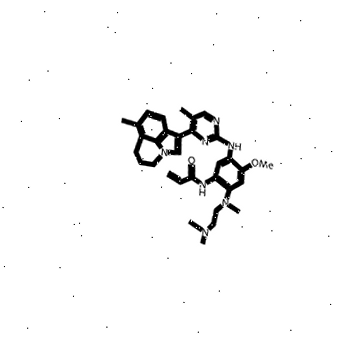 C=CC(=O)Nc1cc(Nc2ncc(C)c(-c3cn4c5c(c(C)ccc35)CCC4)n2)c(OC)cc1N(C)CCN(C)C